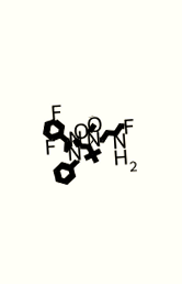 COC(=O)N(CC[C@H](N)CF)[C@@H](c1nc(-c2cc(F)ccc2F)cn1Cc1ccccc1)C(C)(C)C